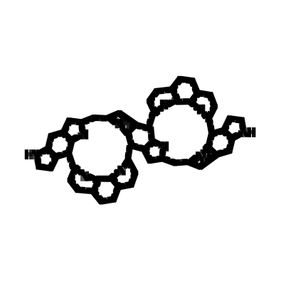 c1cc2c(cc3cc4cc5cc6c([nH]5)c(c5ccc7ccc8ccc(nc8c7n5)c2c3n4)c2cc3cc4cc5cc7[nH]ccc7c(c7ccc8ccc9ccc(nc9c8n7)c6c2n3)c5[nH]4)[nH]1